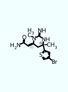 CN1C(=N)N[C@](C)(c2cc(Br)cs2)C/C1=C/C(N)=O